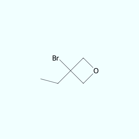 CCC1(Br)COC1